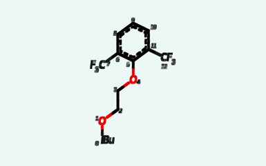 CCC(C)OCCOc1c(C(F)(F)F)cccc1C(F)(F)F